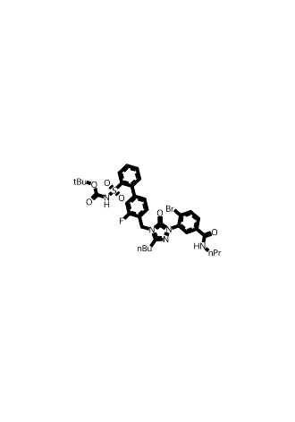 CCCCc1nn(-c2cc(C(=O)NCCC)ccc2Br)c(=O)n1Cc1ccc(-c2ccccc2S(=O)(=O)NC(=O)OC(C)(C)C)cc1F